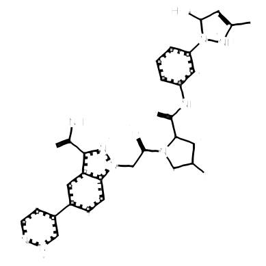 CC1=CC(O)N(c2cccc(NC(=O)C3CC(F)CN3C(=O)Cn3nc(C(N)=O)c4cc(-c5ccnnc5)ccc43)c2)N1